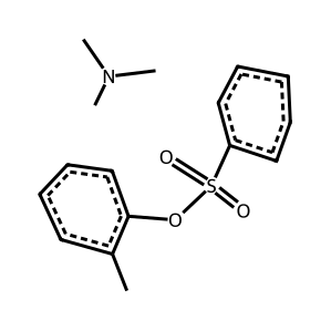 CN(C)C.Cc1ccccc1OS(=O)(=O)c1ccccc1